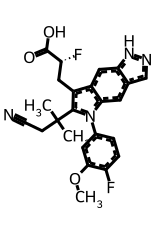 COc1cc(-n2c(C(C)(C)CC#N)c(C[C@@H](F)C(=O)O)c3cc4[nH]ncc4cc32)ccc1F